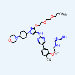 COCCOCCOCCOc1nn(C2CCC(N3CCOCC3)CC2)cc1Nc1ncc(-c2ccc(C#N)c(O[C@@H](C)CN/C=N\C=N)c2)cn1